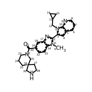 Cn1c(-c2cc3cccnc3n2CC2CC2)nc2cc(C(=O)N3CCC[C@]4(CCNC4)C3)ccc21